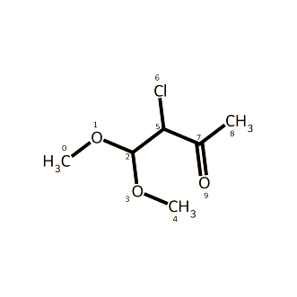 COC(OC)C(Cl)C(C)=O